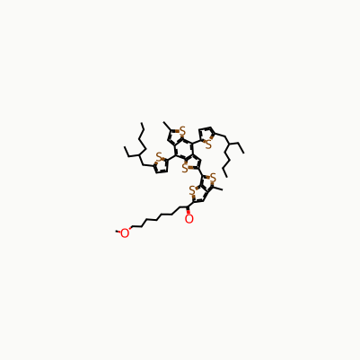 CCCCC(CC)Cc1ccc(-c2c3cc(-c4sc(C)c5cc(C(=O)CCCCCCCOC)sc45)sc3c(-c3ccc(CC(CC)CCCC)s3)c3cc(C)sc23)s1